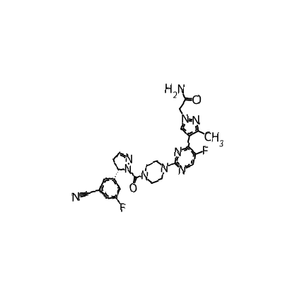 Cc1nn(CC(N)=O)cc1-c1nc(N2CCN(C(=O)N3N=CC[C@H]3c3cc(F)cc(C#N)c3)CC2)ncc1F